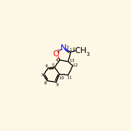 CC1=NOC2c3ccccc3CCC12